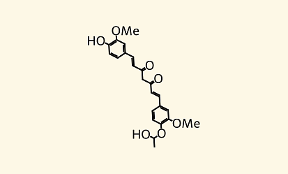 COc1cc(/C=C/C(=O)CC(=O)/C=C/c2ccc(OC(C)O)c(OC)c2)ccc1O